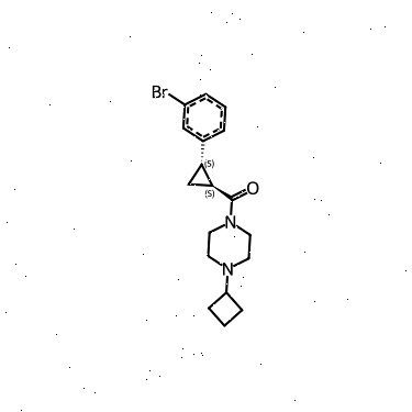 O=C([C@H]1C[C@@H]1c1cccc(Br)c1)N1CCN(C2CCC2)CC1